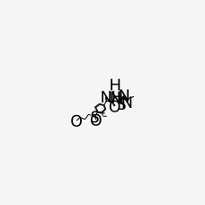 COCCC[S+]([O-])c1ccc(C(=N)C(=O)Nc2nc(C)ns2)cc1